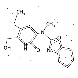 CCc1cc(N(C)c2nc3ccccc3o2)c(=O)[nH]c1CO